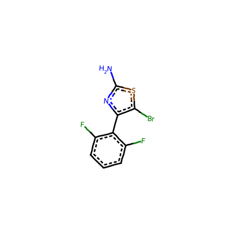 Nc1nc(-c2c(F)cccc2F)c(Br)s1